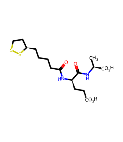 C[C@H](NC(=O)[C@@H](CCC(=O)O)NC(=O)CCCC[C@@H]1CCSS1)C(=O)O